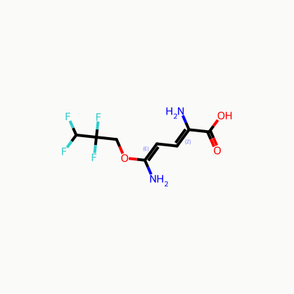 N/C(=C\C=C(/N)OCC(F)(F)C(F)F)C(=O)O